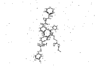 CCOC(=O)CCC[n+]1c(-c2ccccc2)c2cc(NC(=O)OCc3ccccc3)ccc2c2ccc(NC(=O)OCc3ccccc3)cc21